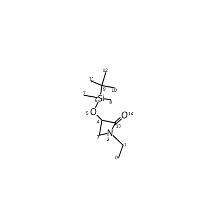 CCN1CC(O[Si](C)(C)C(C)(C)C)C1=O